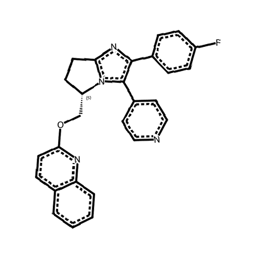 Fc1ccc(-c2nc3n(c2-c2ccncc2)[C@H](COc2ccc4ccccc4n2)CC3)cc1